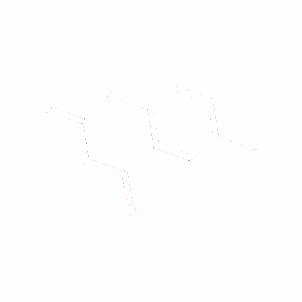 O=C1CC(=O)c2cc(F)ccc2O1